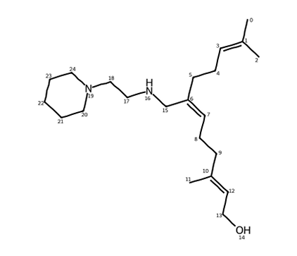 CC(C)=CCC/C(=C/CC/C(C)=C/CO)CNCCN1CCCCC1